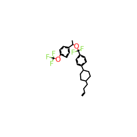 C=CCCC1CCC(c2ccc(C(F)(F)OC(C)c3ccc(OC(F)(F)F)cc3)cc2)CC1